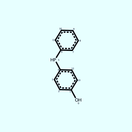 Oc1ccc(Pc2ccccc2)cc1